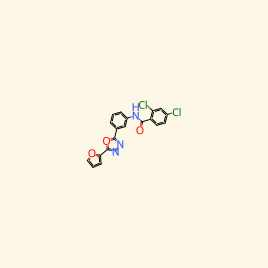 O=C(Nc1cccc(-c2nnc(-c3ccco3)o2)c1)c1ccc(Cl)cc1Cl